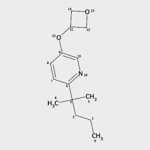 CCCC(C)(C)c1ccc(OC2COC2)cn1